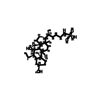 CC[C@@H]1C2C[C@H](O)CC[C@]2(C)[C@H]2CCC3(C)[C@@H]([C@H](C)CCCNS(=O)(=O)O)CC[C@H]3C2[C@@H]1O